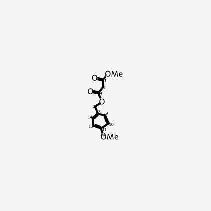 COC(=O)CC(=O)OCc1ccc(OC)cc1